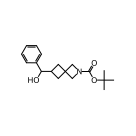 CC(C)(C)OC(=O)N1CC2(CC(C(O)c3ccccc3)C2)C1